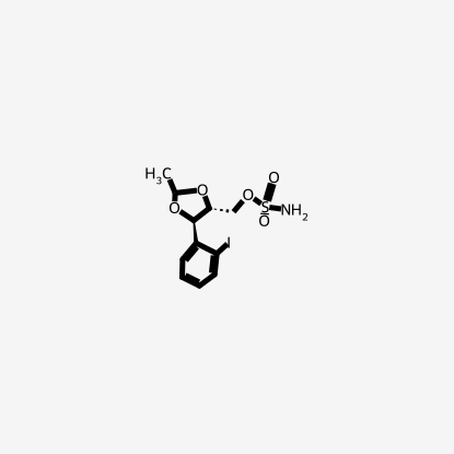 CC1O[C@H](c2ccccc2I)[C@@H](COS(N)(=O)=O)O1